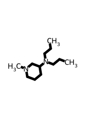 CCCN(CCC)C1CCCN(C)C1